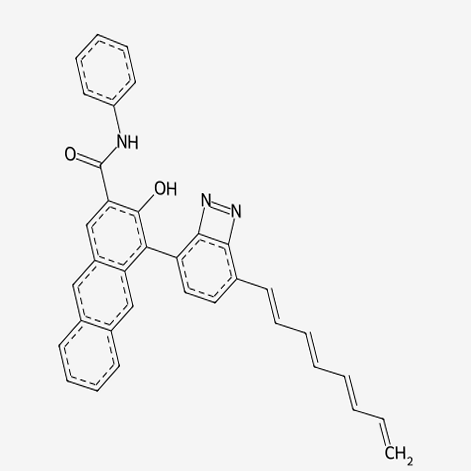 C=CC=CC=CC=Cc1ccc(-c2c(O)c(C(=O)Nc3ccccc3)cc3cc4ccccc4cc23)c2c1N=N2